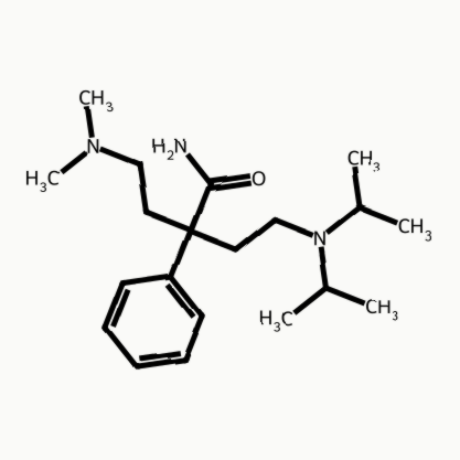 CC(C)N(CCC(CCN(C)C)(C(N)=O)c1ccccc1)C(C)C